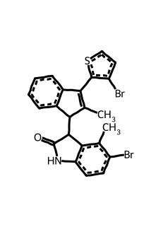 CC1=C(c2sccc2Br)c2ccccc2C1C1C(=O)Nc2ccc(Br)c(C)c21